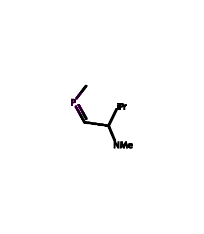 CNC(/C=P\C)C(C)C